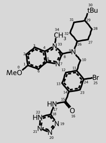 COc1ccc2c(c1)nc(N(Cc1ccc(C(=O)Nc3nnn[nH]3)cc1Br)C1CCC(C(C)(C)C)CC1)n2C